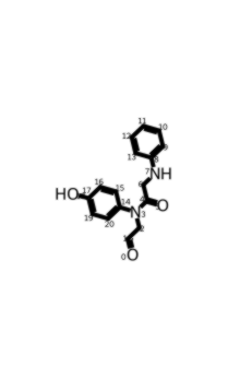 O=[C]CN(C(=O)CNc1ccccc1)c1ccc(O)cc1